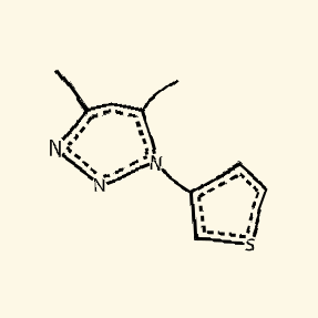 Cc1nnn(-c2ccsc2)c1C